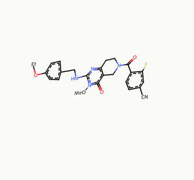 CCOc1ccc(CNc2nc3c(c(=O)n2OC)CN(C(=O)c2ccc(C#N)cc2F)CC3)cc1